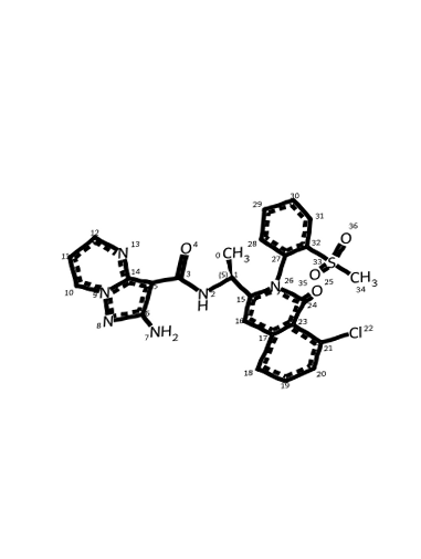 C[C@H](NC(=O)c1c(N)nn2cccnc12)c1cc2cccc(Cl)c2c(=O)n1-c1ccccc1S(C)(=O)=O